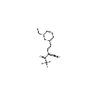 CCC1CCCC(CCC(=[N+]=[N-])C(=O)C(C)(C)C)C1